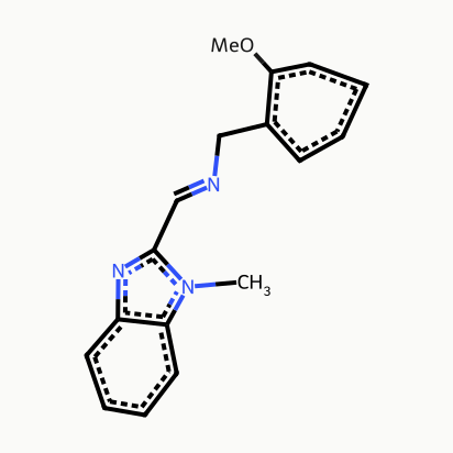 COc1ccccc1CN=Cc1nc2ccccc2n1C